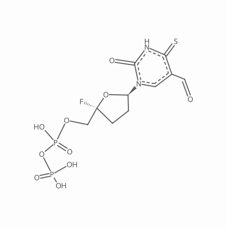 O=Cc1cn([C@H]2CC[C@@](F)(COP(=O)(O)OP(=O)(O)O)O2)c(=O)[nH]c1=S